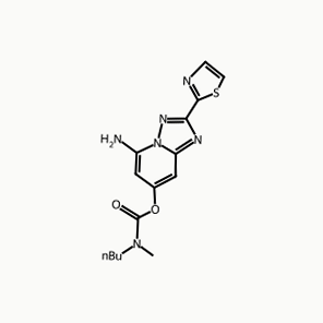 CCCCN(C)C(=O)Oc1cc(N)n2nc(-c3nccs3)nc2c1